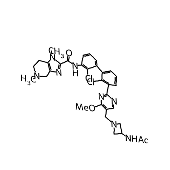 COc1nc(-c2cccc(-c3cccc(NC(=O)c4nc5c(n4C)CCN(C)C5)c3Cl)c2Cl)ncc1CN1CC(NC(C)=O)C1